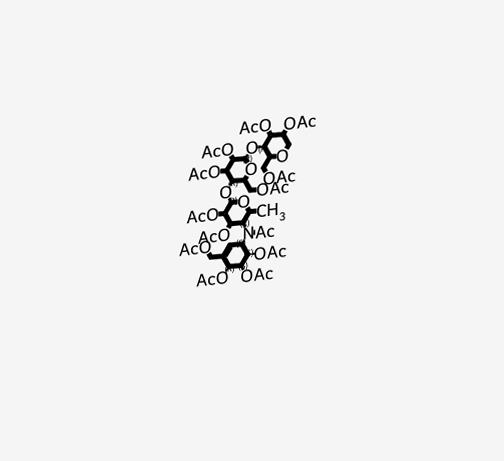 CC(=O)OCC1=C[C@H](N(C(C)=O)[C@@H]2C(C)O[C@H](O[C@@H]3C(COC(C)=O)O[C@H](O[C@@H]4C(COC(C)=O)OCC(OC(C)=O)C4OC(C)=O)C(OC(C)=O)C3OC(C)=O)C(OC(C)=O)C2OC(C)=O)[C@H](OC(C)=O)[C@@H](OC(C)=O)[C@@H]1OC(C)=O